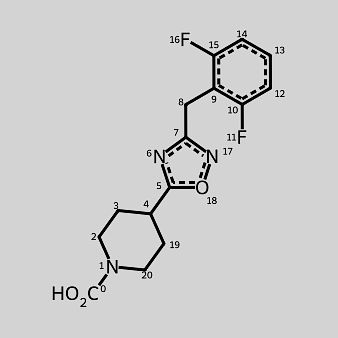 O=C(O)N1CCC(c2nc(Cc3c(F)cccc3F)no2)CC1